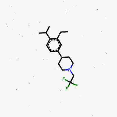 CCc1cc(C2CCN(CC(F)(F)F)CC2)ccc1C(C)C